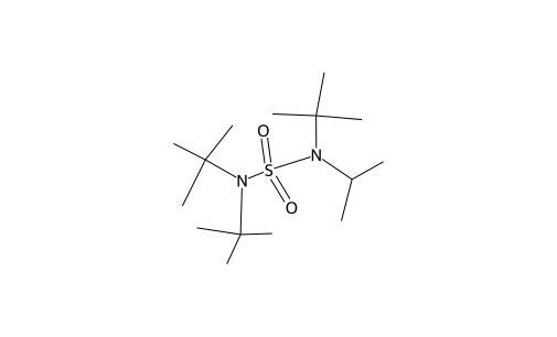 CC(C)N(C(C)(C)C)S(=O)(=O)N(C(C)(C)C)C(C)(C)C